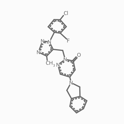 Cc1nnn(-c2ccc(Cl)cc2F)c1Cn1ncc(N2Cc3ccccc3C2)cc1=O